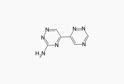 Nc1nncc(-c2cncnn2)n1